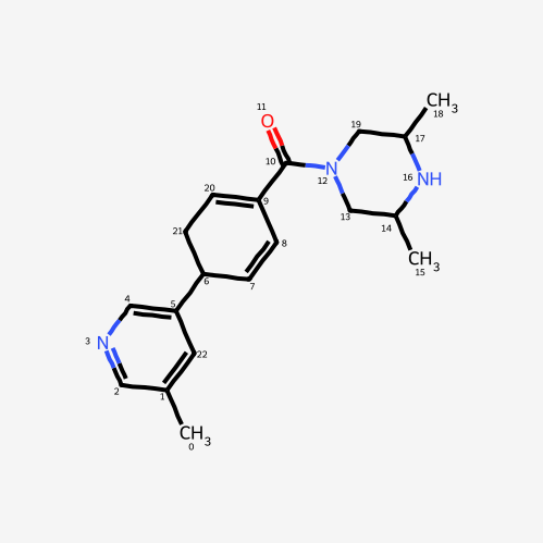 Cc1cncc(C2C=CC(C(=O)N3CC(C)NC(C)C3)=CC2)c1